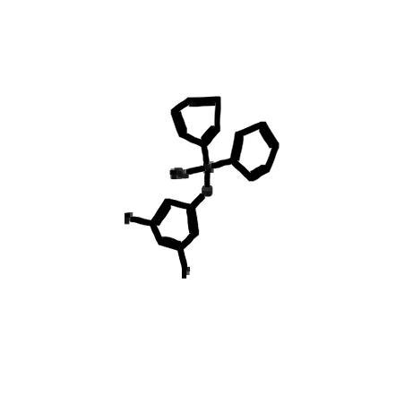 CC(C)(C)[Si](Oc1cc(F)cc(F)c1)(c1ccccc1)c1ccccc1